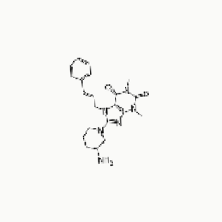 Cn1c(=O)c2c(nc(N3CCCC(N)C3)n2C/C=C/c2ccccc2)n(C)c1=O